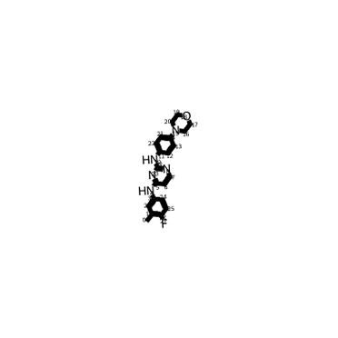 Cc1cc(Nc2ccnc(Nc3ccc(N4CCOCC4)cc3)n2)ccc1F